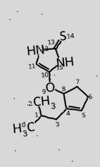 CC(C)CC1=CCCC1Oc1c[nH]c(=S)[nH]1